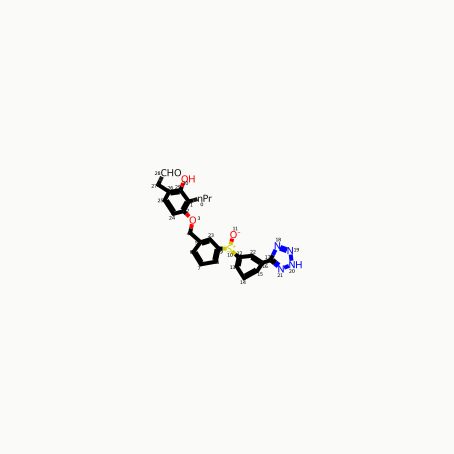 CCCc1c(OCc2cccc([S+]([O-])c3cccc(-c4nn[nH]n4)c3)c2)ccc(CC=O)c1O